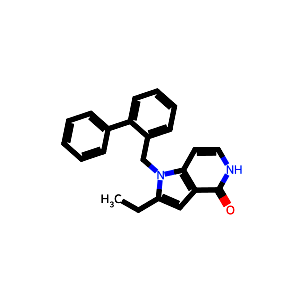 CCc1cc2c(=O)[nH]ccc2n1Cc1ccccc1-c1ccccc1